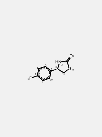 O=C1N[C@H](c2ccc(F)cc2)CO1